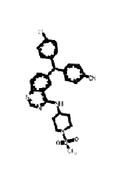 N#Cc1ccc(C(c2ccc(Cl)cc2)c2ccc3ncnc(NC4CCN(S(=O)(=O)C(F)(F)F)CC4)c3c2)cc1